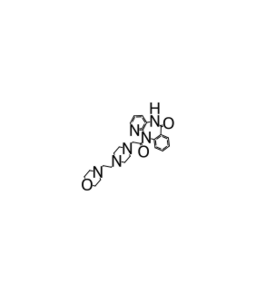 O=C1Nc2cccnc2N(C(=O)CN2CCN(CCN3CCOCC3)CC2)c2ccccc21